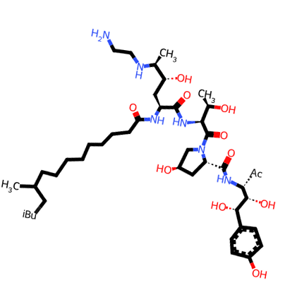 CCC(C)CC(C)CCCCCCCCC(=O)N[C@@H](C[C@@H](O)[C@H](C)NCCN)C(=O)N[C@H](C(=O)N1C[C@H](O)C[C@H]1C(=O)N[C@H](C(C)=O)[C@H](O)[C@@H](O)c1ccc(O)cc1)[C@@H](C)O